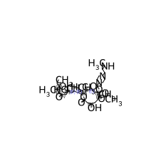 CC[C@H](O)[C@@H](C)[C@H]1O[C@@H]1C[C@@](C)(O)/C=C/C=C(\C)[C@H]1OC(=O)C[C@H](O)CC[C@@](C)(OC(C)=O)[C@@H](OC(=O)N2CCN(CCNC)CC2)/C=C/[C@@H]1C